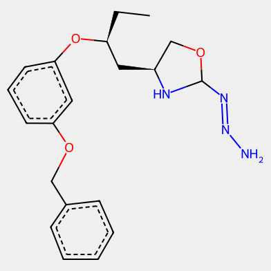 CC[C@@H](C[C@H]1COC(N=NN)N1)Oc1cccc(OCc2ccccc2)c1